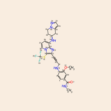 CNC(=O)c1ccc(NCC#Cc2nc3c(N[C@H]4CCn5nccc5C4)cccn3c2SC(F)(F)F)c(OC)c1